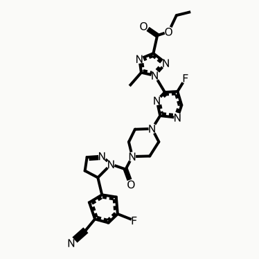 CCOC(=O)c1nc(C)n(-c2nc(N3CCN(C(=O)N4N=CCC4c4cc(F)cc(C#N)c4)CC3)ncc2F)n1